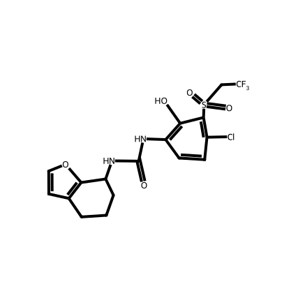 O=C(Nc1ccc(Cl)c(S(=O)(=O)CC(F)(F)F)c1O)NC1CCCc2ccoc21